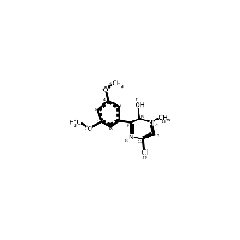 COc1cc(OC)cc(C2=NC(Cl)=CN(C)C2O)c1